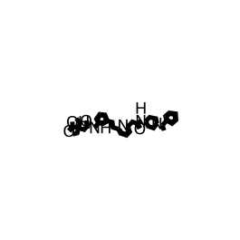 CCC(CC)(CC(=O)Nc1cccc(/C=C/c2cccc(CC(=O)NC3CCN(C(C)c4ccccc4)CC3)n2)c1)C(=O)O